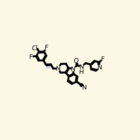 N#Cc1ccc2c3c(n(C(=O)NCc4ccnc(F)c4)c2c1)CCN(C/C=C/c1cc(F)c(Cl)c(F)c1)C3